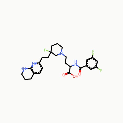 O=C(NC(CCN1CCC[C@@](F)(CCc2ccc3c(n2)NCCC3)C1)C(=O)O)c1cc(F)cc(F)c1